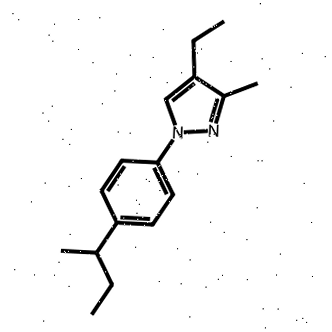 CCc1cn(-c2ccc(C(C)CC)cc2)nc1C